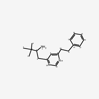 CC(C)(C)C(N)Cc1cc(CCc2ccccc2)ncn1